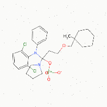 CC1(COCCC(O[Cl+3]([O-])([O-])[O-])(N2CCCC2)N(c2ccccc2)c2c(Cl)cccc2Cl)CCCCC1